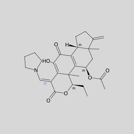 C=C1CC[C@H]2C3=C([C@H](OC(C)=O)CC12C)C1(C)C(=C(O)C3=O)/C(=C\N2CCCC2)C(=O)O[C@@H]1CC